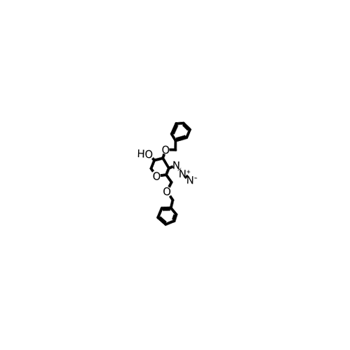 [N-]=[N+]=NC1C(COCc2ccccc2)OCC(O)C1OCc1ccccc1